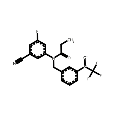 CCC(=O)N(Cc1cccc([S+]([O-])C(F)(F)F)c1)c1cc(F)cc(C#N)c1